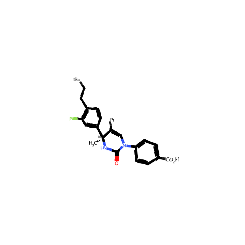 CC(C)C1=CN(c2ccc(C(=O)O)cc2)C(=O)N[C@@]1(C)c1ccc(CCC(C)(C)C)c(F)c1